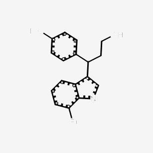 CCc1cccc2c(C(CCO)c3ccc(C(F)(F)F)cc3)c[nH]c12